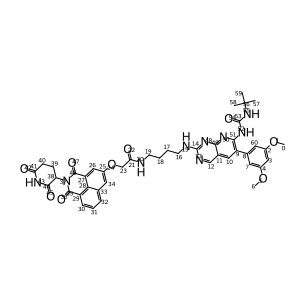 COc1cc(OC)cc(-c2cc3cnc(NCCCCNC(=O)COc4cc5c6c(cccc6c4)C(=O)N(C4CCC(=O)NC4=O)C5=O)nc3nc2NC(=O)NC(C)(C)C)c1